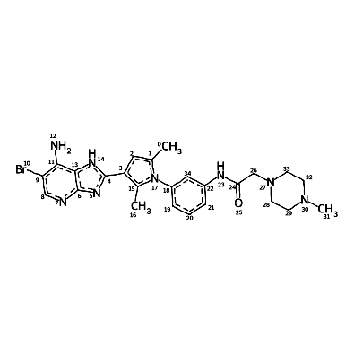 Cc1cc(-c2nc3ncc(Br)c(N)c3[nH]2)c(C)n1-c1cccc(NC(=O)CN2CCN(C)CC2)c1